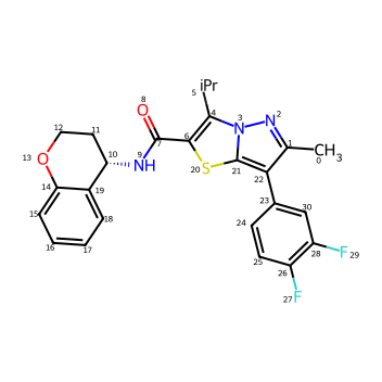 Cc1nn2c(C(C)C)c(C(=O)N[C@H]3CCOc4ccccc43)sc2c1-c1ccc(F)c(F)c1